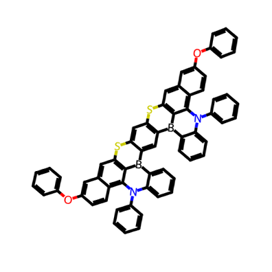 c1ccc(Oc2ccc3c4c5c(cc3c2)Sc2cc3c(cc2B5c2ccccc2N4c2ccccc2)B2c4ccccc4N(c4ccccc4)c4c2c(cc2cc(Oc5ccccc5)ccc42)S3)cc1